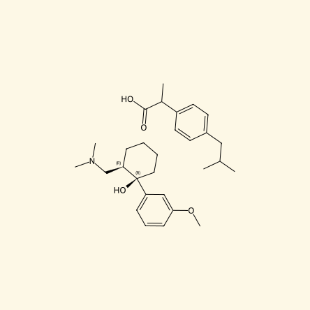 CC(C)Cc1ccc(C(C)C(=O)O)cc1.COc1cccc([C@@]2(O)CCCC[C@@H]2CN(C)C)c1